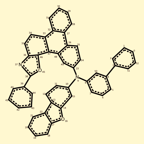 c1ccc(-c2cccc(N(c3ccc4c(c3)oc3ccccc34)c3ccc4c5ccccc5c5ccc6nc(-c7ccccc7)oc6c5c4c3)c2)cc1